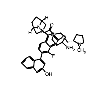 CN1CCC[C@H]1COc1nc(N2C[C@H]3CC[C@@H](C2)N3CC(=O)N2CCC(N)CC2)c2ccc(-c3cc(O)cc4ccccc34)c(F)c2n1